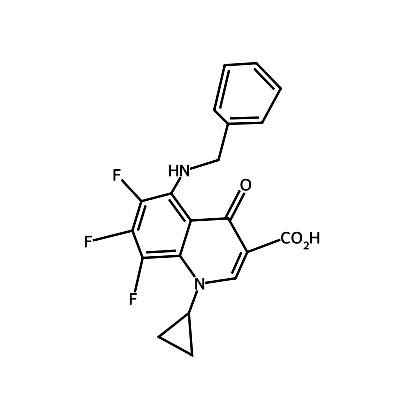 O=C(O)c1cn(C2CC2)c2c(F)c(F)c(F)c(NCc3ccccc3)c2c1=O